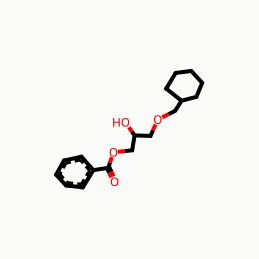 O=C(OCC(O)COCC1CCCCC1)c1ccccc1